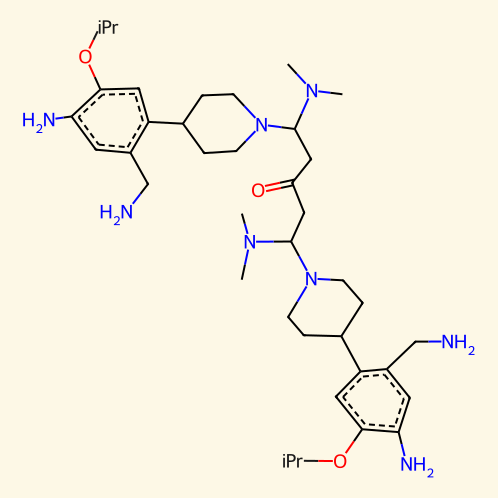 CC(C)Oc1cc(C2CCN(C(CC(=O)CC(N(C)C)N3CCC(c4cc(OC(C)C)c(N)cc4CN)CC3)N(C)C)CC2)c(CN)cc1N